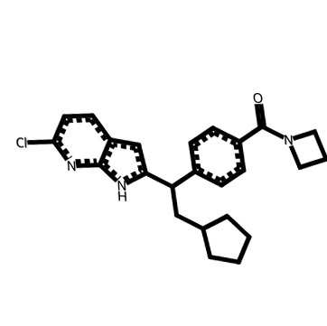 O=C(c1ccc(C(CC2CCCC2)c2cc3ccc(Cl)nc3[nH]2)cc1)N1CCC1